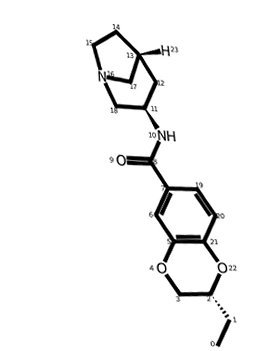 CC[C@@H]1COc2cc(C(=O)N[C@@H]3C[C@H]4CCN(C4)C3)ccc2O1